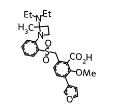 CCN(CC)C1(C)CCN1c1ccccc1S(=O)(=O)Cc1ccc(-c2ccoc2)c(OC)c1C(=O)O